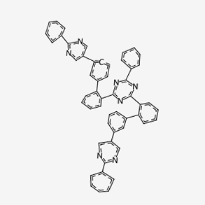 c1ccc(-c2ncc(-c3cccc(-c4ccccc4-c4nc(-c5ccccc5)nc(-c5ccccc5-c5cccc(-c6cnc(-c7ccccc7)nc6)c5)n4)c3)cn2)cc1